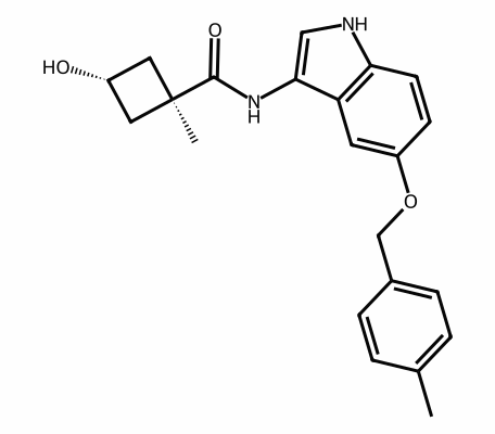 Cc1ccc(COc2ccc3[nH]cc(NC(=O)[C@]4(C)C[C@@H](O)C4)c3c2)cc1